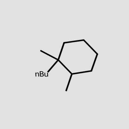 CCCCC1(C)CCCCC1C